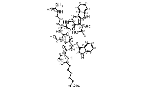 CCCCCCCCCCCCCCCC(=O)N[C@@H](CO)C(=O)N[C@@H](Cc1c[nH]c2ccccc12)C(=O)N[C@@H](CO)C(=O)N[C@@H](CCCNC(=N)N)C(=O)N[C@@H](Cc1c[nH]c2ccccc12)C(=O)N[C@H](C(C)=O)[C@@H](C)O